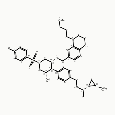 COCCCN1CCOc2ccc(CO[C@H]3CN(S(=O)(=O)c4ccc(C)cc4)C[C@@H](O)[C@@H]3c3ccc(COC(C)[C@@H]4C[C@@H]4OC)cc3)cc21